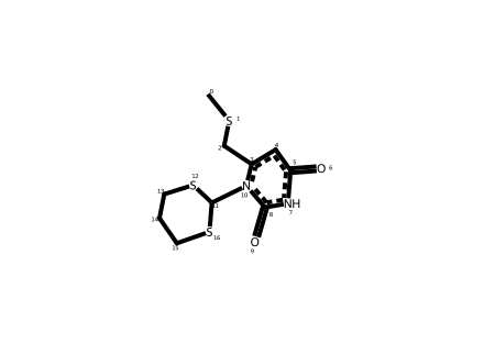 CSCc1cc(=O)[nH]c(=O)n1C1SCCCS1